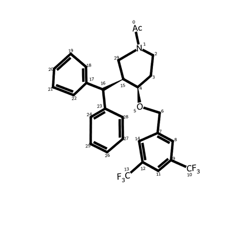 CC(=O)N1CC[C@@H](OCc2cc(C(F)(F)F)cc(C(F)(F)F)c2)[C@@H](C(c2ccccc2)c2ccccc2)C1